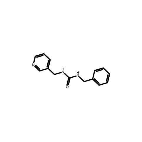 O=C(NCc1ccccc1)NCc1cccnc1